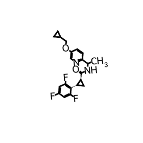 CC(NC(=O)[C@H]1C[C@@H]1c1c(F)cc(F)cc1F)c1ccc(OCC2CC2)cn1